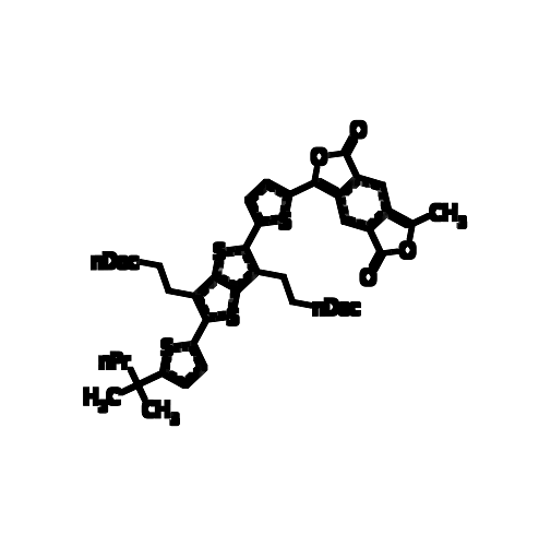 CCCCCCCCCCCCc1c(-c2ccc(C3=c4cc5c(cc4C(=O)O3)=C(C)OC5=O)s2)sc2c(CCCCCCCCCCCC)c(-c3ccc(C(C)(C)CCC)s3)sc12